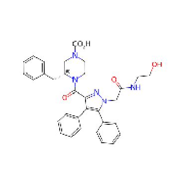 O=C(Cn1nc(C(=O)N2CCN(C(=O)O)C[C@H]2Cc2ccccc2)c(-c2ccccc2)c1-c1ccccc1)NCCO